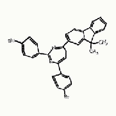 CC(C)(C)c1ccc(-c2nc(-c3ccc(Br)cc3)cc(-c3ccc4c(c3)C(C)(C)c3ccccc3-4)n2)cc1